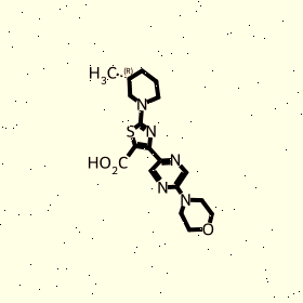 C[C@@H]1CCCN(c2nc(-c3cnc(N4CCOCC4)cn3)c(C(=O)O)s2)C1